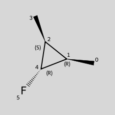 C[C@@H]1[C@H](C)[C@H]1F